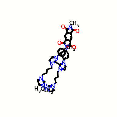 Cc1ccc(-n2cc[n+](CCCCn3cc[n+](C)c3)c2-c2n(-c3ccc(-n4c(=O)c5cc6c(=O)n(C)c(=O)c6cc5c4=O)cc3)cc[n+]2CCCCn2cc[n+](C)c2)cc1